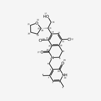 Cc1cc(C)c(CN2CCc3c(Cl)cc(C(CO)[C@@H]4CCCO4)c(Cl)c3C2=O)c(=O)[nH]1